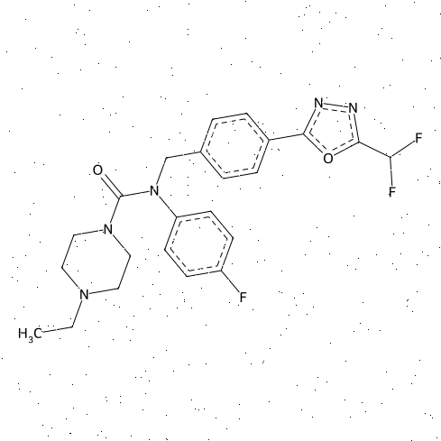 CCN1CCN(C(=O)N(Cc2ccc(-c3nnc(C(F)F)o3)cc2)c2ccc(F)cc2)CC1